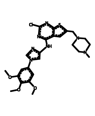 COc1cc(-n2cnc(Nc3nc(Cl)nc4sc(CN5CCN(C)CC5)cc34)c2)cc(OC)c1OC